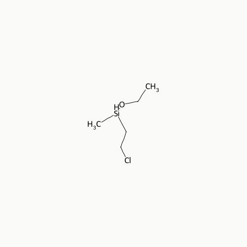 CCO[SiH](C)CCCl